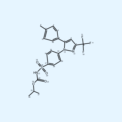 Cc1ccc(-c2cc(C(F)(F)F)nn2-c2ccc(S(=O)(=O)NC(=O)OC(C)C)cc2)cc1